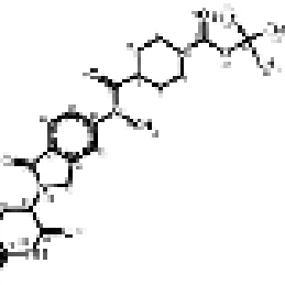 CN(C(=O)C1CCN(C(=O)OC(C)(C)C)CC1)c1ccc2c(c1)CN(C1CCC(=O)NC1=O)C2=O